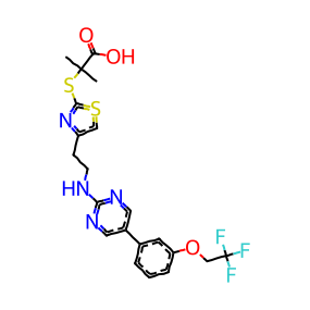 CC(C)(Sc1nc(CCNc2ncc(-c3cccc(OCC(F)(F)F)c3)cn2)cs1)C(=O)O